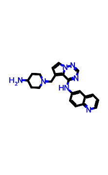 NC1CCN(Cc2ccn3ncnc(Nc4ccc5ncccc5c4)c23)CC1